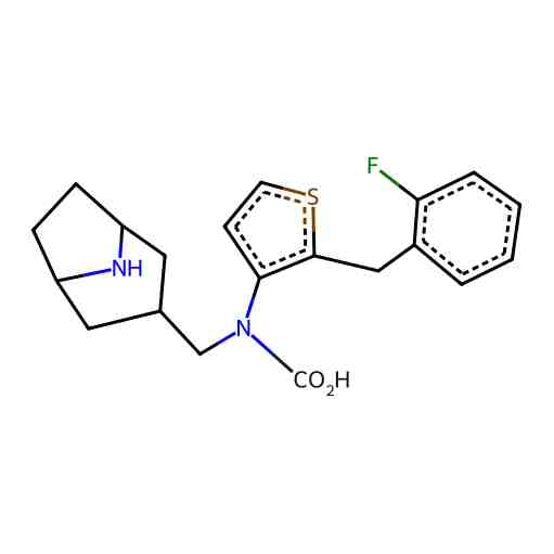 O=C(O)N(CC1CC2CCC(C1)N2)c1ccsc1Cc1ccccc1F